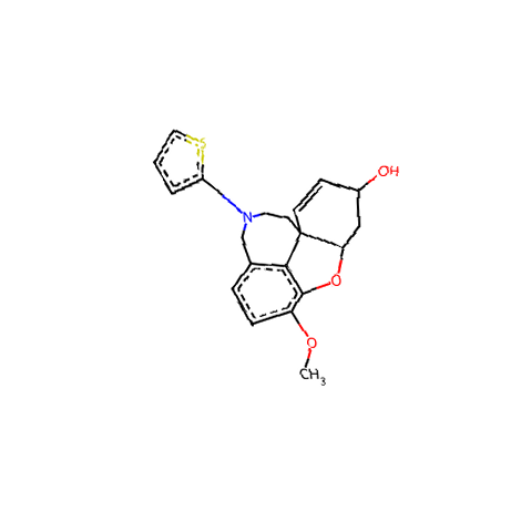 COc1ccc2c3c1OC1CC(O)C=CC31CCN(c1cccs1)C2